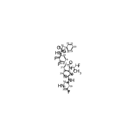 CC(CF)n1c(=O)c(-c2ccc(NS(=O)(=O)Cc3ccccc3)c(F)c2F)cc2cnc(N[C@@H]3CNC[C@@H](F)C3)nc21